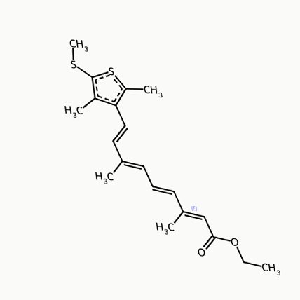 CCOC(=O)/C=C(\C)C=CC=C(C)C=Cc1c(C)sc(SC)c1C